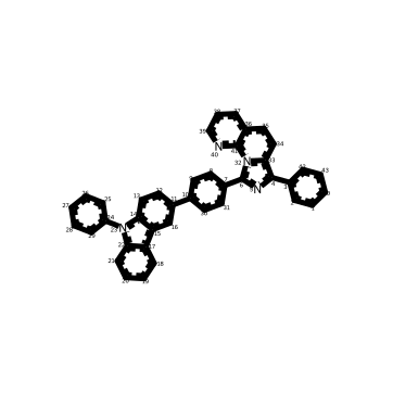 c1ccc(-c2nc(-c3ccc(-c4ccc5c(c4)c4ccccc4n5-c4ccccc4)cc3)n3c2ccc2cccnc23)cc1